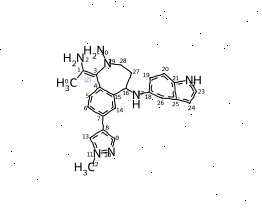 C/C(N)=C1\c2ccc(-c3cnn(C)c3)cc2C(Nc2ccc3[nH]ccc3c2)CCN1N